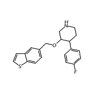 Fc1ccc(C2CCNCC2OCc2ccc3sccc3c2)cc1